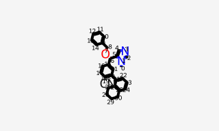 Cn1cncc1C(OCc1ccccc1)c1ccc(C#N)c(-c2cccc3c2CCCC3)c1